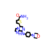 NC(=O)c1ccc(-c2cnc(Nc3ccc(N4CCOCC4)cc3)c3nccn23)s1